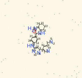 CN(C)Cc1cncc(-c2cc(Nc3ccc(C(=O)NC4CCCCC4N)cc3)ncn2)c1